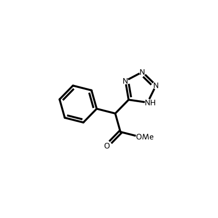 COC(=O)C(c1ccccc1)c1nnn[nH]1